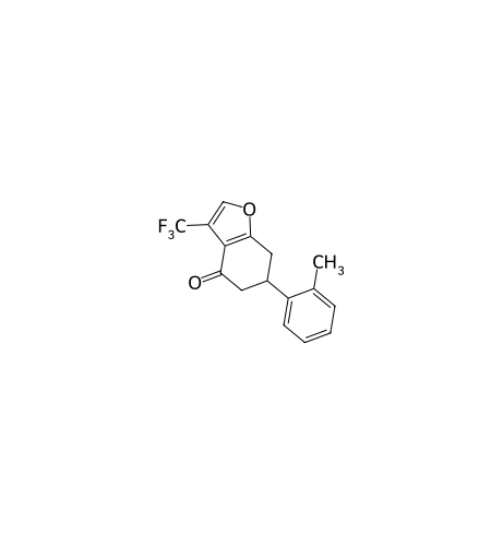 Cc1ccccc1C1CC(=O)c2c(C(F)(F)F)coc2C1